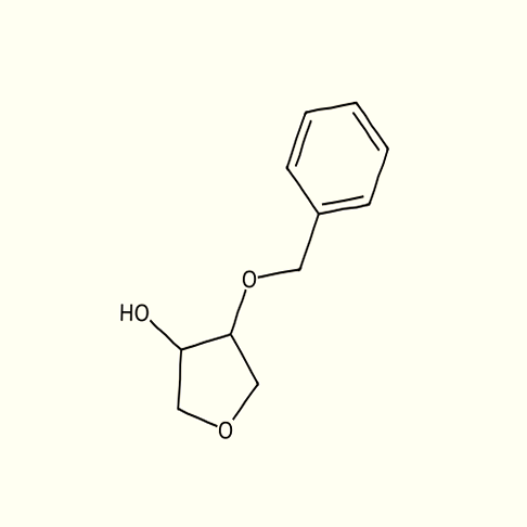 OC1COCC1OCc1ccccc1